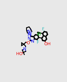 C#Cc1c(F)ccc2cc(O)cc(-c3c(Cl)cc4c(N5CC6CCC(C5)N6)nc(OCC5(CN6CC(C)(O)C6)CC5)nc4c3F)c12